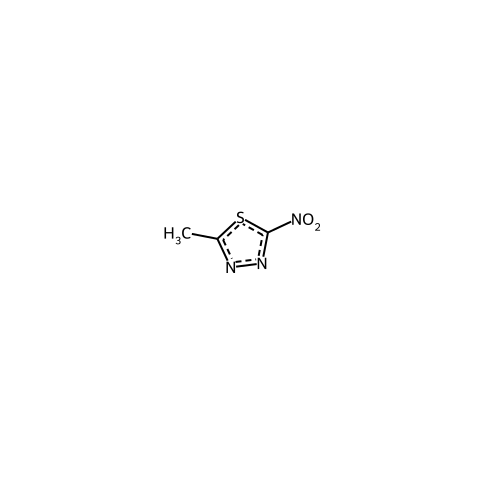 Cc1nnc([N+](=O)[O-])s1